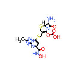 Cc1nc2nc(C(=O)NO)cc(SCC3=C(OC(=O)O)N4C(=O)[C@@H](N)[C@H]4SC3)n2n1